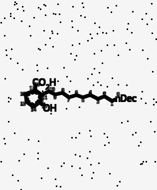 CCCCCCCCCCCCCCCCCCCCc1c(O)cccc1C(=O)O